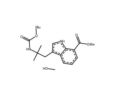 CO.COC(=O)c1cccc2c(CC(C)(C)NC(=O)OC(C)(C)C)c[nH]c12